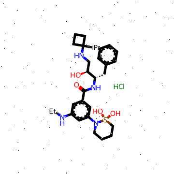 CCNc1cc(C(=O)N[C@@H](Cc2ccccc2)[C@@H](O)CNC2(C(C)C)CCC2)cc(N2CCCCS2(O)O)c1.Cl